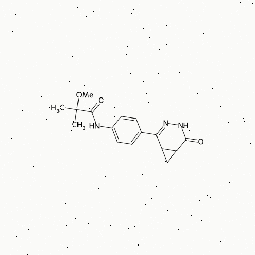 COC(C)(C)C(=O)Nc1ccc(C2=NNC(=O)C3CC23)cc1